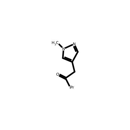 CC(C)C(=O)Cc1cnn(C)c1